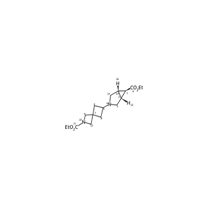 CCOC(=O)[C@H]1[C@@H]2CN(C3CC4(C3)CN(C(=O)OCC)C4)C[C@@H]21